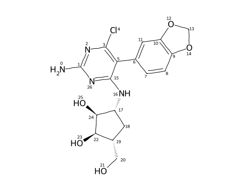 Nc1nc(Cl)c(-c2ccc3c(c2)OCO3)c(N[C@@H]2C[C@H](CO)[C@@H](O)[C@H]2O)n1